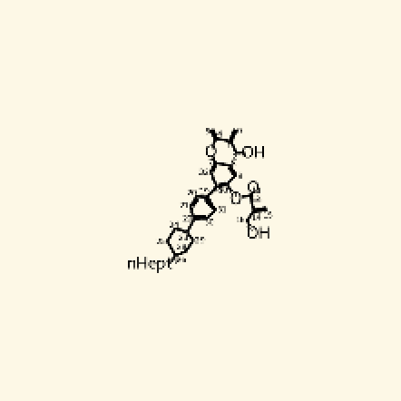 C=C(CO)C(=C)Oc1ccc(OC(=O)C(=C)CO)c(-c2ccc(C3CCC(CCCCCCC)CC3)cc2)c1